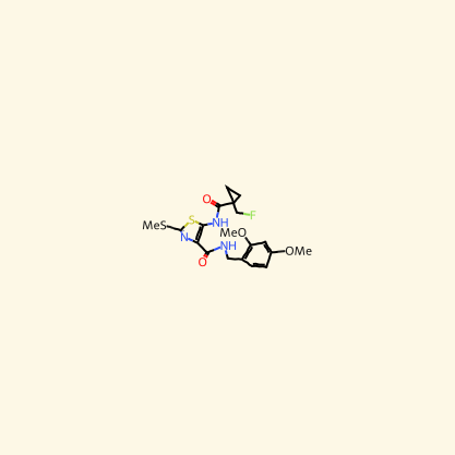 COc1ccc(CNC(=O)c2nc(SC)sc2NC(=O)C2(CF)CC2)c(OC)c1